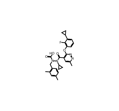 Cc1ccc(CN(C(=O)O)N(C(=O)c2cc(C)nnc2Oc2cccc(C3CC3)c2F)C2CC2)c(C)c1